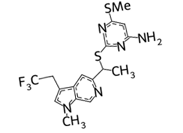 CSc1cc(N)nc(SC(C)c2cc3c(CC(F)(F)F)cn(C)c3cn2)n1